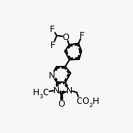 Cn1c(=O)n(CC(=O)O)c2cc(-c3ccc(F)c(OC(F)F)c3)cnc21